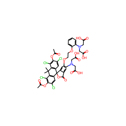 CC(=O)Oc1c(Cl)cc2c(c1Cl)C(C)(C)c1c(cc(Cl)c(OC(C)=O)c1Cl)C21OC(=O)c2cc(N(CC(=O)O)CC(=O)O)c(OCCOc3ccccc3N(CC(=O)O)CC(=O)O)cc21